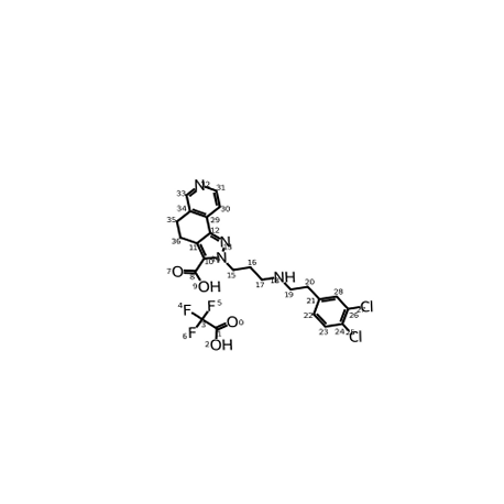 O=C(O)C(F)(F)F.O=C(O)c1c2c(nn1CCCNCCc1ccc(Cl)c(Cl)c1)-c1ccncc1CC2